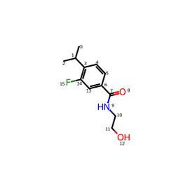 CC(C)c1ccc(C(=O)NCCO)cc1F